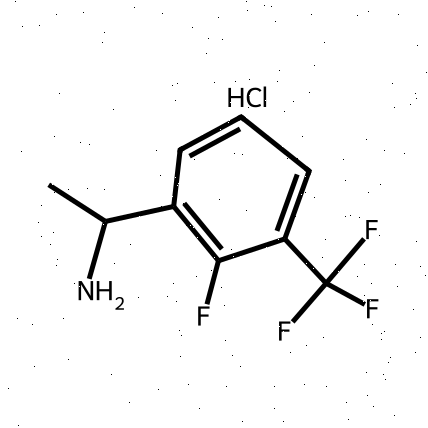 CC(N)c1cccc(C(F)(F)F)c1F.Cl